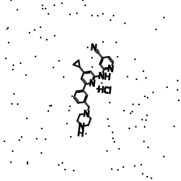 Cl.N#Cc1ccnc(Nc2cc(C3CC3)cc(-c3cccc(CN4CCNCC4)c3)n2)c1